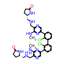 CNc1nc(-c2cccc(-c3cccc(-c4cnc(CNC[C@@H]5CCC(=O)N5)c(NC)n4)c3Cl)c2Cl)cnc1CNC[C@@H]1CCC(=O)N1